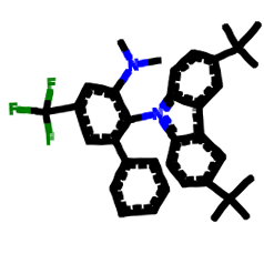 CN(C)c1cc(C(F)(F)F)cc(-c2ccccc2)c1-n1c2ccc(C(C)(C)C)cc2c2cc(C(C)(C)C)ccc21